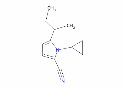 CCC(C)c1ccc(C#N)n1C1CC1